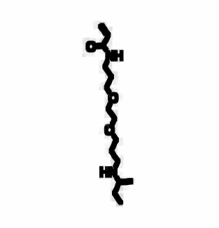 C=CC(=O)NCCCOCCOCCCNC(=C)CC